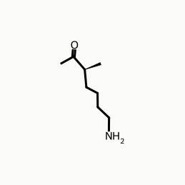 CC(=O)[C@@H](C)CCCCN